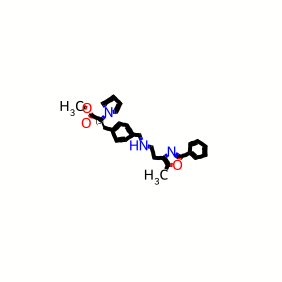 COC(=O)[C@H](Cc1ccc(CNCCc2nc(-c3ccccc3)oc2C)cc1)n1cccc1